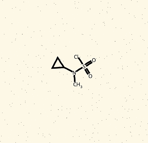 CN(C1CC1)S(=O)(=O)Cl